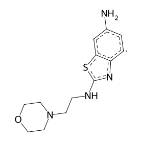 Nc1c[c]c2nc(NCCN3CCOCC3)sc2c1